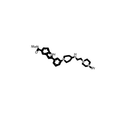 CNC(=O)c1ccc2[nH]c(-c3cccc(N4CCC(NCCN5CCN(C(C)C)CC5)CC4)c3)cc2c1